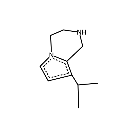 CC(C)c1ccn2c1CNCC2